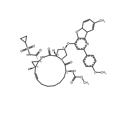 COC(=O)N[C@H]1CCCCC/C=C\[C@@H]2C[C@@]2(C(=O)NS(=O)(=O)C2CC2)NC(=O)[C@@H]2C[C@@H](Oc3cc(-c4ccc(OC)cc4)nc4c3OC3C=CC(C)=CC43)CN2C1=O